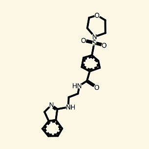 O=C(NCCNC1=NCc2ccccc21)c1ccc(S(=O)(=O)N2CCOCC2)cc1